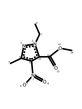 CCn1nc(C)c([N+](=O)[O-])c1C(=O)OC